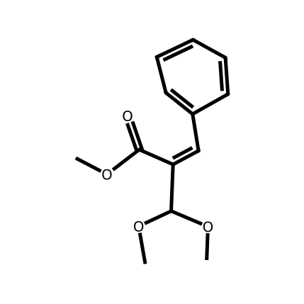 COC(=O)C(=Cc1ccccc1)C(OC)OC